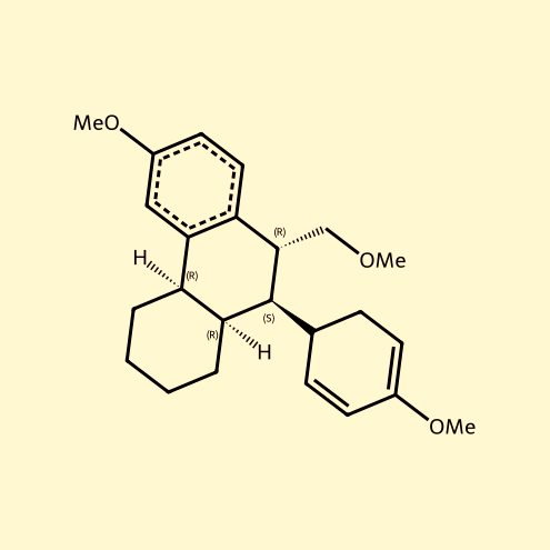 COC[C@H]1c2ccc(OC)cc2[C@@H]2CCCC[C@@H]2[C@@H]1C1C=CC(OC)=CC1